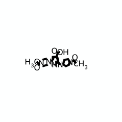 CC(=O)N1CCC(Nc2cc(C(=O)O)cc(N3CCN(C(C)=O)CC3)n2)CC1